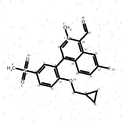 C[n+]1cc(-c2cc(S(C)(=O)=O)ccc2OCC2CC2)c2ccc(F)cc2c1C=O